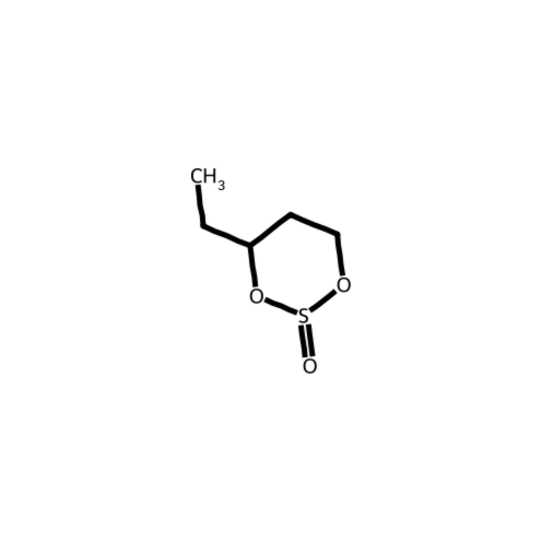 CCC1CCOS(=O)O1